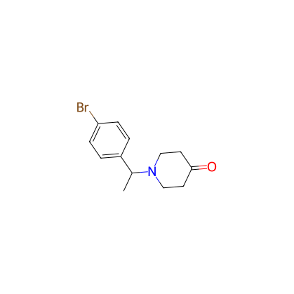 CC(c1ccc(Br)cc1)N1CCC(=O)CC1